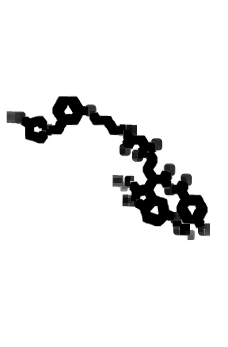 COc1ccc2[nH]c(C)c(C(CCS(=O)(=O)CC(=O)NCCCOc3cccc(CN4CCC(O)C4)c3)C(=O)OC(=O)c3ccc(Cl)cc3)c2c1